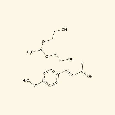 CN(OCCO)OCCO.COc1ccc(C=CC(=O)O)cc1